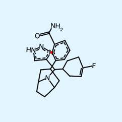 NC(=O)c1cccc(C2CC3CCC(C2)N3C(c2c[nH]nn2)C2CC=C(F)CC2)c1